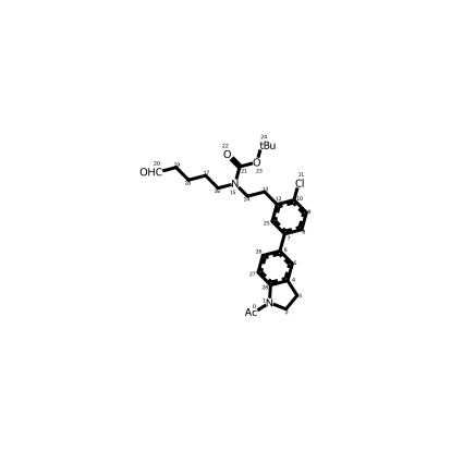 CC(=O)N1CCc2cc(-c3ccc(Cl)c(CCN(CCCCC=O)C(=O)OC(C)(C)C)c3)ccc21